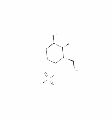 NS(=O)(=O)O[C@@H]1C[C@H](O)[C@@H](O)[C@@H](O)[C@H]1CO